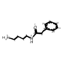 NCCCCNC(=O)Cc1cc[c]cc1